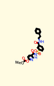 COC(=O)Oc1ccc(C(=O)NS(=O)(=O)c2cccc(C(=O)NCCc3ccccc3)c2)cn1